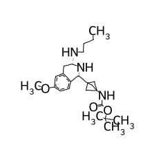 CCCCN[C@H]1Cc2cc(OC)ccc2[C@@H](C23CC(NC(=O)OC(C)(C)C)(C2)C3)N1